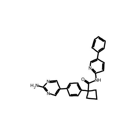 Nc1ncc(-c2ccc(C3(C(=O)Nc4ccc(-c5ccccc5)cn4)CCC3)cc2)cn1